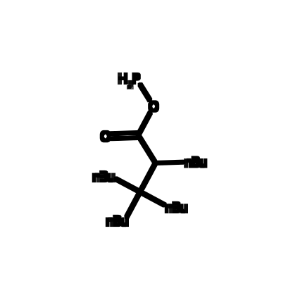 CCCCC(C(=O)OP)C(CCCC)(CCCC)CCCC